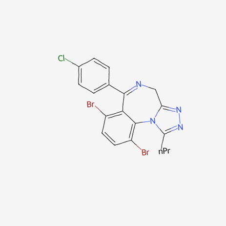 CCCc1nnc2n1-c1c(Br)ccc(Br)c1C(c1ccc(Cl)cc1)=NC2